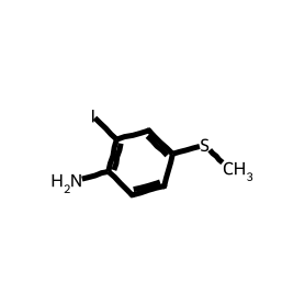 CSc1ccc(N)c(I)c1